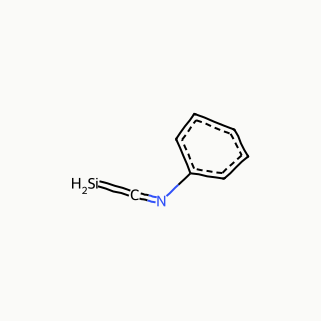 [SiH2]=C=Nc1ccccc1